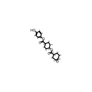 O=C(Oc1ccc(O)cc1)C1CCC(OC(=O)C2CCC3OC3C2)CC1